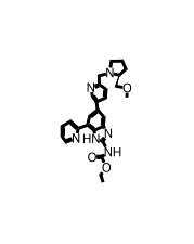 CCOC(=O)Nc1nc2cc(-c3ccc(CN4CCC[C@H]4COC)nc3)cc(-c3ccccn3)c2[nH]1